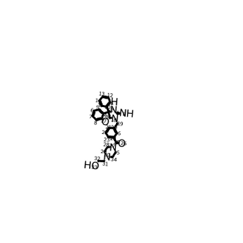 N=C1NC(c2ccccc2)(c2ccccc2)C(=O)N1Cc1cccc(C(=O)N2CCN(CCO)CC2)c1